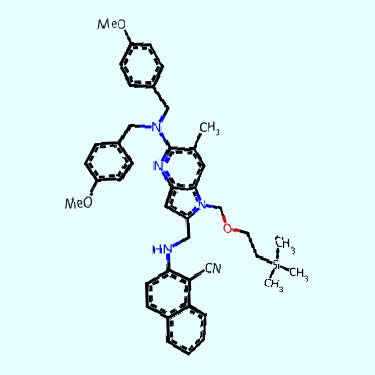 COc1ccc(CN(Cc2ccc(OC)cc2)c2nc3cc(CNc4ccc5ccccc5c4C#N)n(COCC[Si](C)(C)C)c3cc2C)cc1